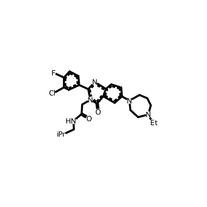 CCN1CCCN(c2ccc3nc(-c4ccc(F)c(Cl)c4)n(CC(=O)NCC(C)C)c(=O)c3c2)CC1